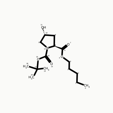 CCCCCOC(=O)[C@@H]1C[C@@H](O)CN1C(=O)OC(C)(C)C